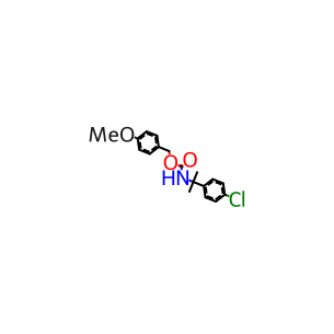 COc1ccc(COC(=O)NC(C)(C)c2ccc(Cl)cc2)cc1